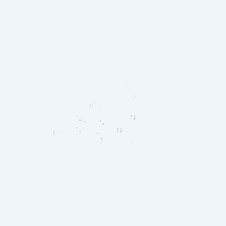 CCSc1nc(N2C[C@@H]3C[C@H]2CN3C(=O)O)c2c(C(C)(C)C)c(I)c(Br)c(OC(C)c3ccccc3)c2n1